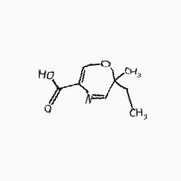 CCC1(C)C=NC(C(=O)O)=CO1